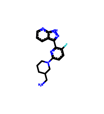 NCC1CCCN(c2ccc(F)c(-c3n[nH]c4ncccc34)n2)C1